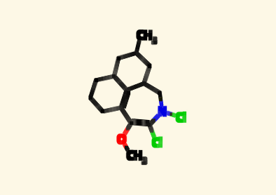 COC1=C(Cl)N(Cl)CC2CC(C)CC3CCCC1=C32